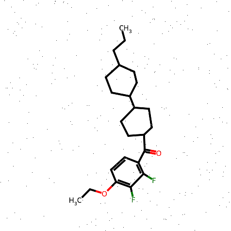 CCCC1CCC(C2CCC(C(=O)c3ccc(OCC)c(F)c3F)CC2)CC1